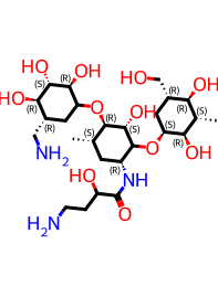 C[C@H]1[C@H](O)[C@@H](CO)C[C@H](OC2[C@@H](O)[C@H](OC3C[C@H](CN)[C@@H](O)[C@H](O)[C@H]3O)[C@@H](C)C[C@H]2NC(=O)C(O)CCN)[C@@H]1O